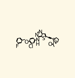 CC(=O)N1CCC[C@@H]1C#Cc1cc2ncnc(Nc3ccc(OCc4cccc(F)c4)c(Cl)c3)c2s1